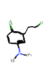 CN(C)c1ccc(Cl)c(CCCl)c1